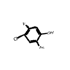 CC(=O)c1cc(Cl)c(F)cc1O